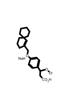 CCOC(CC(=O)O)c1ccc(OCC2=CC3(CCCCC3)CCC2)cc1.[NaH]